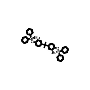 CC(C)(c1ccc(O[Si](c2ccccc2)(c2ccccc2)C(C)(C)C)cc1)c1ccc(O[Si](c2ccccc2)(c2ccccc2)C(C)(C)C)cc1